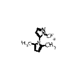 Cc1ccc(C)n1-c1ccnn1C(F)(F)F